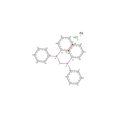 Cl.[Pd].c1ccc(P(CP(c2ccccc2)c2ccccc2)c2ccccc2)cc1